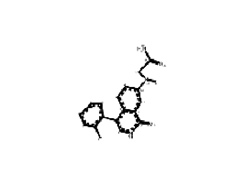 Cc1ccccc1-c1c[nH]c(=O)c2cc(N(C)CC(N)=O)ccc12